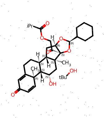 CC(C)(C)O.CC(C)C(=O)OCC(=O)[C@@]12O[C@H](C3CCCCC3)O[C@@H]1C[C@H]1[C@@H]3CCC4=CC(=O)C=C[C@]4(C)[C@H]3[C@@H](O)C[C@@]12C